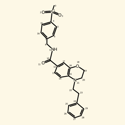 CS(=O)(=O)c1ccc(CNC(=O)c2ccc3c(c2)OCCN3CCc2ccccc2)cc1